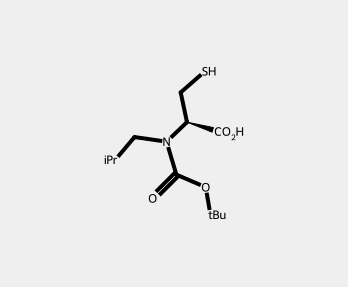 CC(C)CN(C(=O)OC(C)(C)C)[C@@H](CS)C(=O)O